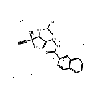 CC(C)C[C@H](NC(=O)c1ccc2ccccc2c1)C(=O)NC(C)(C)C#N